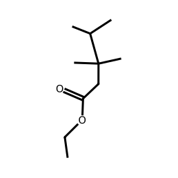 CCOC(=O)CC(C)(C)C(C)C